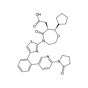 O=C(O)C[C@@H]1C(=O)N(c2nc(-c3ccccc3-c3ccc(N4CCCC4=O)nc3)cs2)CCO[C@@H]1C1CCCC1